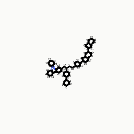 c1ccc(-c2ccc(C(CCc3ccc(-c4ccc5ccc(-c6ccc7ccccc7c6)cc5c4)cc3)Cc3ccc4c5ccccc5n(-c5ccccc5)c4c3)cc2)cc1